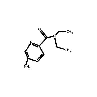 CCN(CC)C(=O)c1ccc(N)cn1